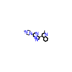 Cc1cc(-c2cnn3cc(N4CCN(C)CC4)cnc23)c2ccccc2n1